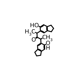 CC(C(=O)C(C)c1cc2c(cc1O)CCC2)c1cc2c(cc1O)CCC2